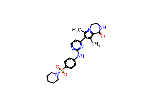 Cc1c(-c2ccnc(Nc3ccc(S(=O)(=O)N4CCCCC4)cc3)n2)c(C)n2c1C(=O)NCC2